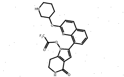 O=C1NCCc2c1cc(-c1cccc3ccc(OC4CCCNC4)nc13)n2OC(=O)C(F)(F)F